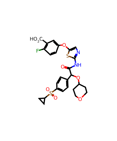 O=C(O)c1cc(Oc2cnc(NC(=O)C(OC3CCOCC3)c3ccc(S(=O)(=O)C4CC4)cc3)s2)ccc1F